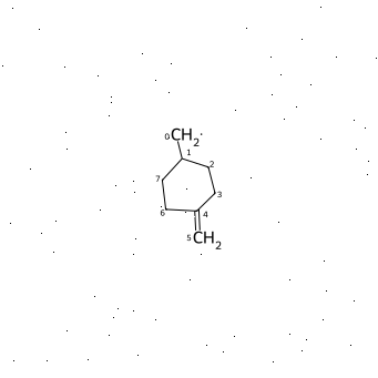 [CH2]C1CCC(=C)CC1